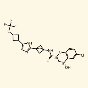 O=C(NC12CC(c3ncc(C4CC(OC(F)(F)F)C4)[nH]3)(C1)C2)[C@H]1C[C@@H](O)c2cc(Cl)ccc2O1